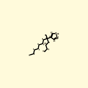 CCCCCCCC(C)(CCCC)c1cnsc1